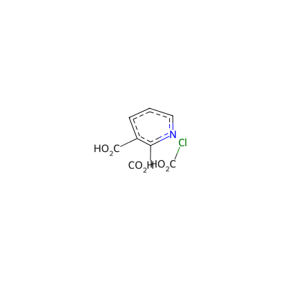 O=C(O)Cl.O=C(O)c1cccnc1C(=O)O